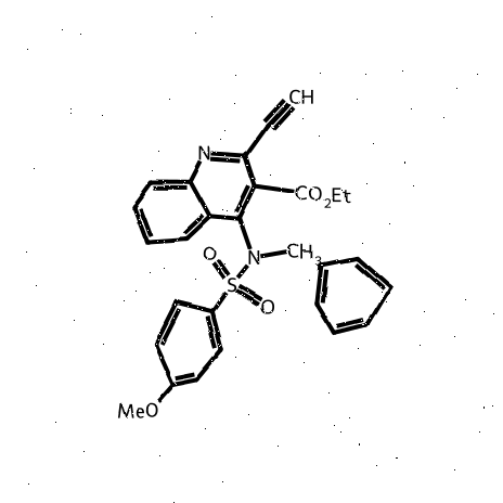 C#Cc1nc2ccccc2c(N(C)S(=O)(=O)c2ccc(OC)cc2)c1C(=O)OCC.c1ccccc1